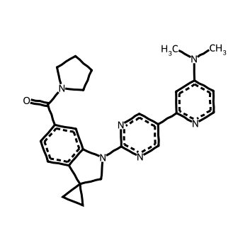 CN(C)c1ccnc(-c2cnc(N3CC4(CC4)c4ccc(C(=O)N5CCCC5)cc43)nc2)c1